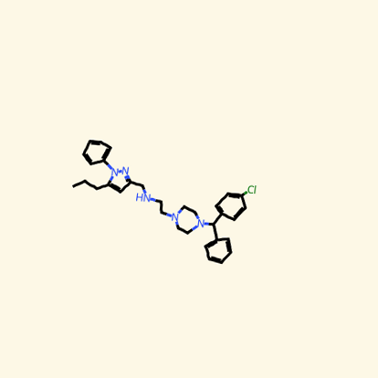 CCCc1cc(CNCCN2CCN(C(c3ccccc3)c3ccc(Cl)cc3)CC2)nn1-c1ccccc1